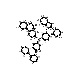 c1ccc(-c2ccccc2-c2ccc(N(c3ccc(-c4ccccc4-c4cc5ccccc5o4)cc3)c3ccc4c(ccc5ccccc54)c3)cc2)cc1